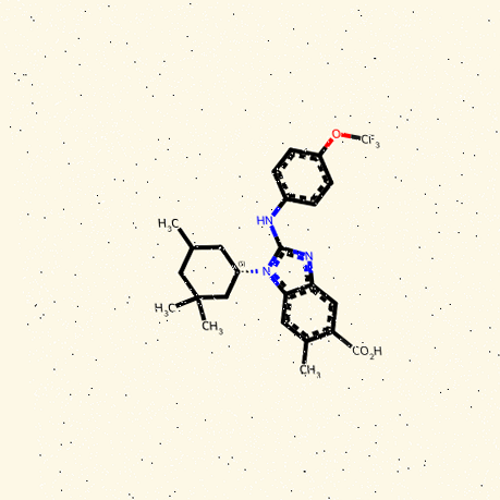 Cc1cc2c(cc1C(=O)O)nc(Nc1ccc(OC(F)(F)F)cc1)n2[C@H]1CC(C)CC(C)(C)C1